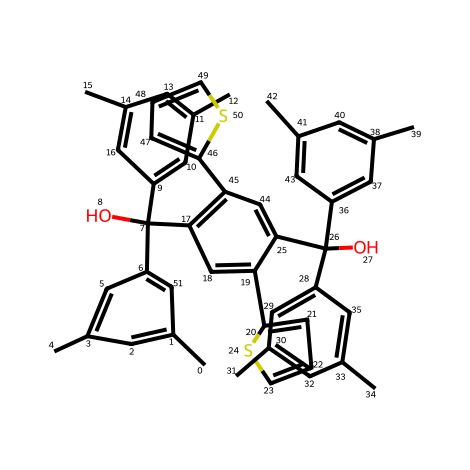 Cc1cc(C)cc(C(O)(c2cc(C)cc(C)c2)c2cc(-c3cccs3)c(C(O)(c3cc(C)cc(C)c3)c3cc(C)cc(C)c3)cc2-c2cccs2)c1